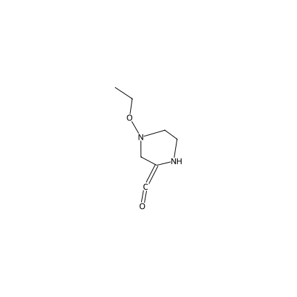 CCON1CCNC(=C=O)C1